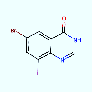 O=c1[nH]cnc2c(I)cc(Br)cc12